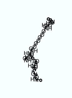 CNN(C)Cc1cc2ccccc2n1CCC(=O)NCC(=O)NCCOCCOCCOCCOCCOCCOCCC(=O)NCC(=O)N[C@@H](CCCNC(N)=O)C(=O)Nc1ccc(COC(=O)N(C)CC(=O)N[C@H](C(=O)N(C)C[C@H](C)CC(=O)N2CCC[C@H]2C[C@@H](C)C(=O)N[C@H](C)Cc2ccccc2)C(C)C)cc1